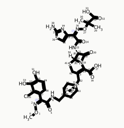 CO/N=C(\C(=O)NCC12CC[N+](CC3=C(C(=O)O)N4C(=O)[C@@H](NC(=O)/C(=N\OC(C)(C)C(=O)O)c5csc(N)n5)[C@H]4SC3)(CC1)CC2)c1ccc(O)c(O)c1Cl